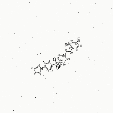 O=S(=O)(c1ccc(-n2cccc2)cc1)C1(F)CCN(CCc2ccc(F)cc2F)CC1